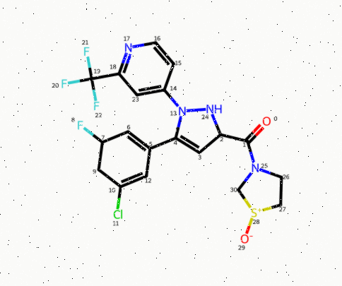 O=C(C1C=C(C2=CC(F)CC(Cl)=C2)N(c2ccnc(C(F)(F)F)c2)N1)N1CC[S+]([O-])C1